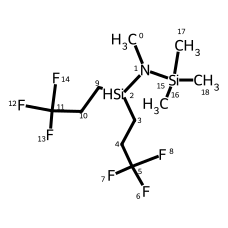 CN([SiH](CCC(F)(F)F)CCC(F)(F)F)[Si](C)(C)C